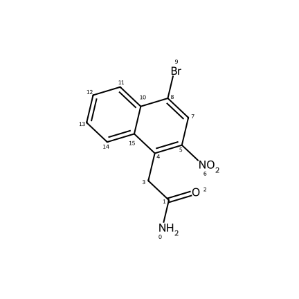 NC(=O)Cc1c([N+](=O)[O-])cc(Br)c2ccccc12